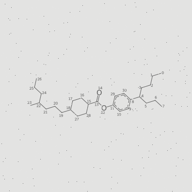 CCCCC(CCC)c1ccc(OC(=O)C2CCC(CCCC(C)CCC)CC2)cc1